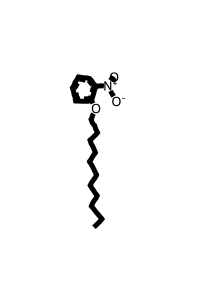 CCCCCCCCCCCOc1ccccc1[N+](=O)[O-]